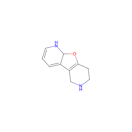 C1=CNC2OC3=C(CNCC3)C2=C1